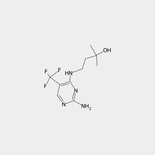 CC(C)(O)CCNc1nc(N)ncc1C(F)(F)F